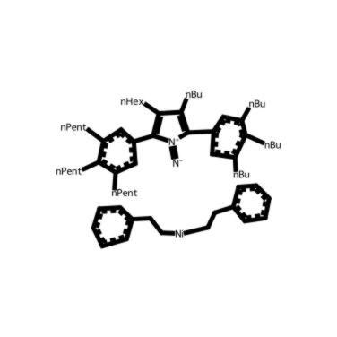 CCCCCCC1=C(c2cc(CCCCC)c(CCCCC)c(CCCCC)c2)[N+](=[N-])C(c2cc(CCCC)c(CCCC)c(CCCC)c2)=C1CCCC.c1ccc(C[CH2][Ni][CH2]Cc2ccccc2)cc1